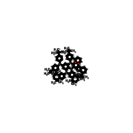 CC(C)(C)c1ccc(N(c2ccc(C(C)(C)C)cc2)c2cc3c4c(c2)N(c2ccc(C(C)(C)C)cc2-c2ccccc2)c2ccc5c(sc6c(C(C)(C)C)cccc65)c2B4c2cc4c(cc2N3c2ccc3c(c2)C(C)(C)CCC3(C)C)C(C)(C)CCC4(C)C)cc1